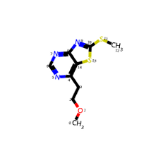 COCCc1ncnc2nc(SC)sc12